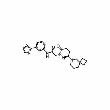 O=C(CN1N=C(N2CCCC3(CCC3)C2)CCC1=O)Nc1cccc(-c2nccs2)c1